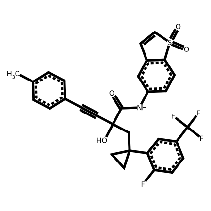 Cc1ccc(C#CC(O)(CC2(c3cc(C(F)(F)F)ccc3F)CC2)C(=O)Nc2ccc3c(c2)C=CS3(=O)=O)cc1